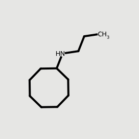 CCCNC1CCCCCCC1